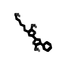 CCCCCCc1cc(-c2cc(-c3ccccc3)c(C)s2)sc1C